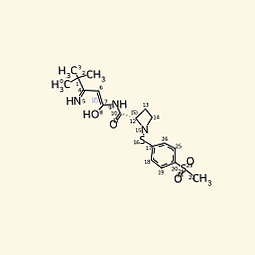 CC(C)(C)C(=N)/C=C(\O)NC(=O)[C@@H]1CCN1Sc1ccc(S(C)(=O)=O)cc1